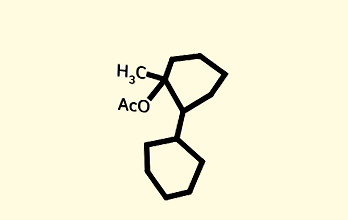 CC(=O)OC1(C)CCCCC1C1CCCCC1